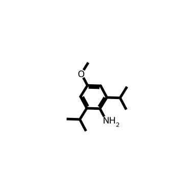 COc1cc(C(C)C)c(N)c(C(C)C)c1